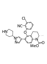 COC(=O)N1c2ccc(-c3cnn(C4CCNCC4)c3)c(Oc3cccc(Cl)c3C#N)c2CC[C@@H]1C